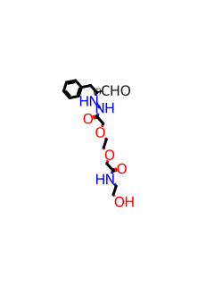 O=C[C@H](Cc1ccccc1)NNC(=O)COCCOCC(=O)NCCO